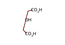 O=C(O)CCCCCCC/C=C\CCCCCCCCCCCCCCCCCCC(O)CCCCCCCCCCCCCC/C=C\CCCCCCCC(=O)O